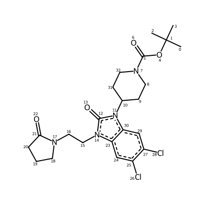 CC(C)(C)OC(=O)N1CCC(n2c(=O)n(CCN3CCCC3=O)c3cc(Cl)c(Cl)cc32)CC1